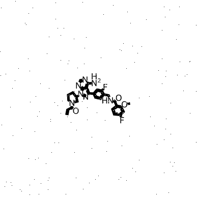 C=CC(=O)N1CCCC(n2nc(-c3ccc(CNC(=O)c4ccc(F)cc4OC)c(F)c3)c3c(N)ncnc32)C1